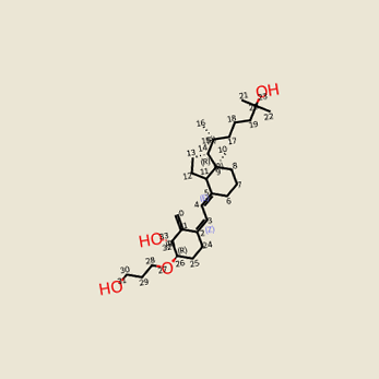 C=C1/C(=C\C=C2/CCC[C@@]3(C)C2CC[C@@H]3[C@H](C)CCCC(C)(C)O)CC[C@@H](OCCCO)[C@@H]1O